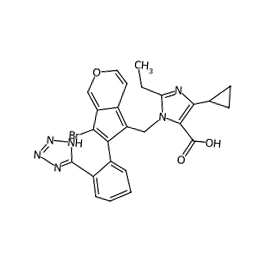 CCc1nc(C2CC2)c(C(=O)O)n1Cc1c2ccocc-2c(Br)c1-c1ccccc1-c1nnn[nH]1